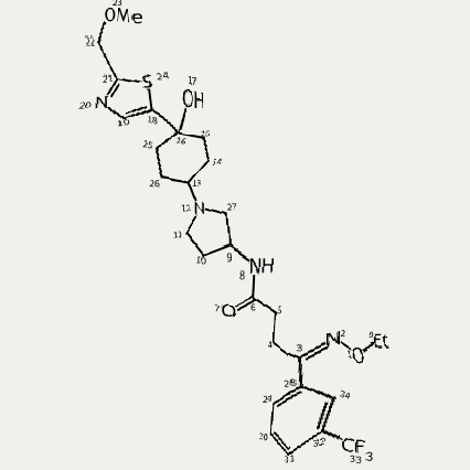 CCON=C(CCC(=O)NC1CCN(C2CCC(O)(c3cnc(COC)s3)CC2)C1)c1cccc(C(F)(F)F)c1